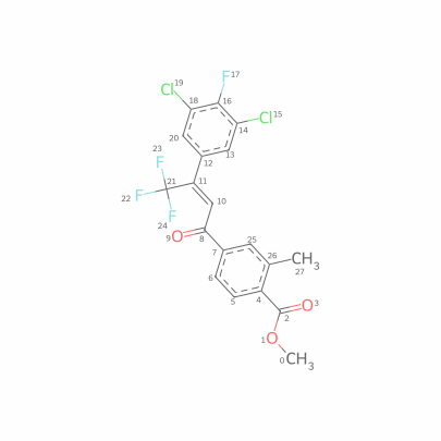 COC(=O)c1ccc(C(=O)C=C(c2cc(Cl)c(F)c(Cl)c2)C(F)(F)F)cc1C